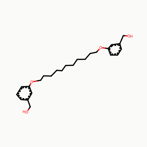 OCc1cccc(OCCCCCCCCCCCOc2cccc(CO)c2)c1